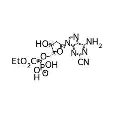 CCOC(=O)[C@H](OC[C@H]1O[C@@H](n2cnc3c(N)nc(C#N)nc32)C[C@@H]1O)P(=O)(O)O